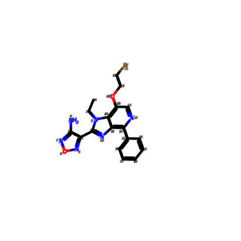 CCn1c(-c2nonc2N)nc2c(-c3ccccc3)ncc(OCCBr)c21